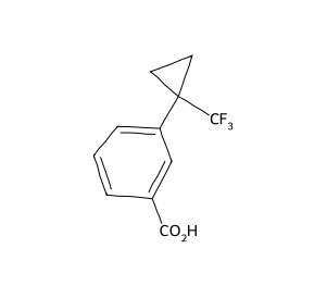 O=C(O)c1cccc(C2(C(F)(F)F)CC2)c1